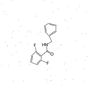 O=C(NCc1c[c]ccc1)c1c(F)cccc1F